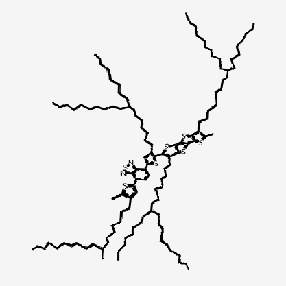 CCCCCCCCCCC(C)CCCCCCCc1cc(-c2ccc(-c3cc(CCCCCCCC(CCCCCCCC)CCCCCCCCCC)c(-c4sc5c(sc6c7sc(C)c(CCCCCCCCC(CCCCCCCC)CCCCCCCCCC)c7sc56)c4CCCCCCCCC(CCCCCCCC)CCCCCCCCCC)s3)c3nsnc23)sc1C